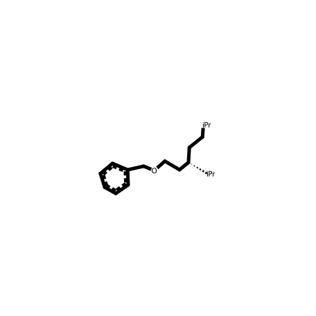 CC(C)CC[C@@H](CCOCc1ccccc1)C(C)C